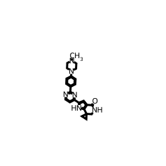 CN1CCN(c2ccc(-c3nccc(-c4cc5c([nH]4)C4(CC4)CNC5=O)n3)cc2)CC1